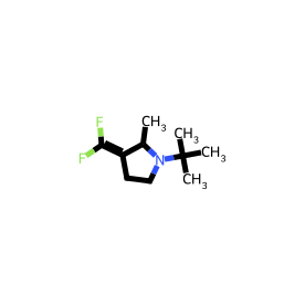 CC1C(=C(F)F)CCN1C(C)(C)C